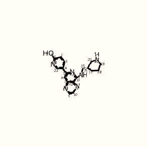 Oc1ccc(-c2cc3nccnc3c(NC[C@H]3CCCNC3)n2)cn1